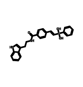 O=C(NCCc1c[nH]c2ccccc12)c1ccc(C=C[Si](O)(O)c2ccccc2)cc1